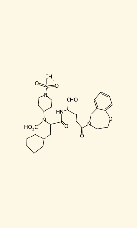 CS(=O)(=O)N1CCC(N(C(=O)O)C(CC2CCCCC2)C(=O)NC(C=O)CCC(=O)N2CCOc3ccccc3C2)CC1